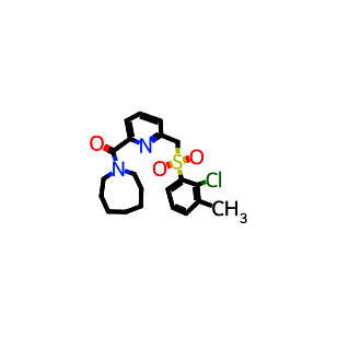 Cc1cccc(S(=O)(=O)Cc2cccc(C(=O)N3CCCCCCC3)n2)c1Cl